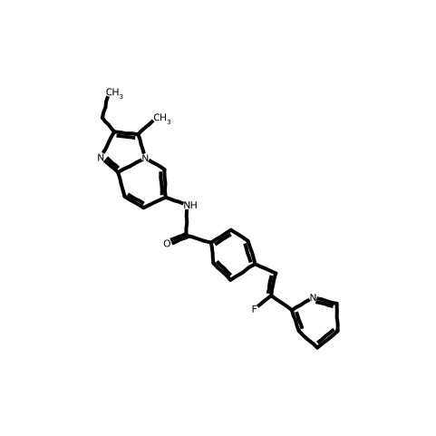 CCc1nc2ccc(NC(=O)c3ccc(/C=C(\F)c4ccccn4)cc3)cn2c1C